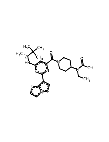 CCN(C(=O)O)C1CCN(C(=O)c2cc(N[C@H](C)C(C)(C)C)nc(-c3cnn4ccsc34)n2)CC1